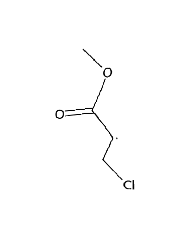 COC(=O)[CH]CCl